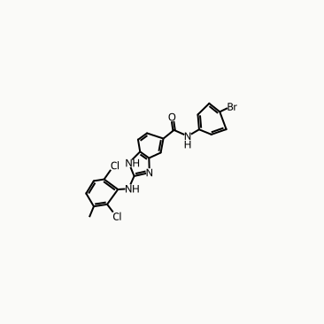 Cc1ccc(Cl)c(Nc2nc3cc(C(=O)Nc4ccc(Br)cc4)ccc3[nH]2)c1Cl